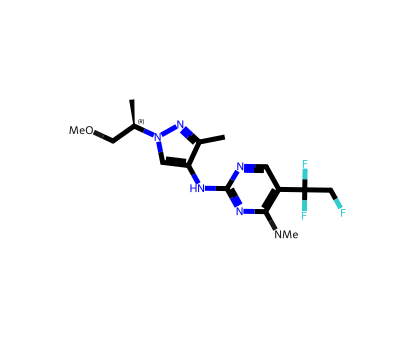 CNc1nc(Nc2cn([C@H](C)COC)nc2C)ncc1C(F)(F)CF